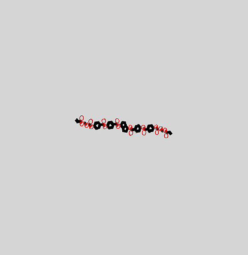 C=CC(=O)OCOC(=O)Oc1ccc(C(=O)Oc2ccc(C(=O)OC3CCC4C(OC(=O)c5ccc(OC(=O)c6ccc(OC(=O)OCOC(=O)C=C)cc6)cc5)CCC34)cc2)cc1